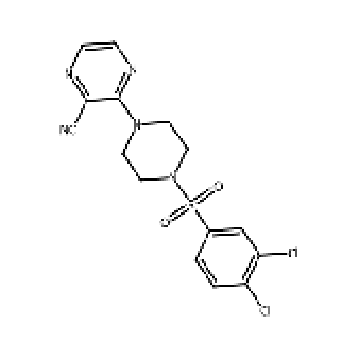 N#Cc1nccnc1N1CCN(S(=O)(=O)c2ccc(Cl)c(Cl)c2)CC1